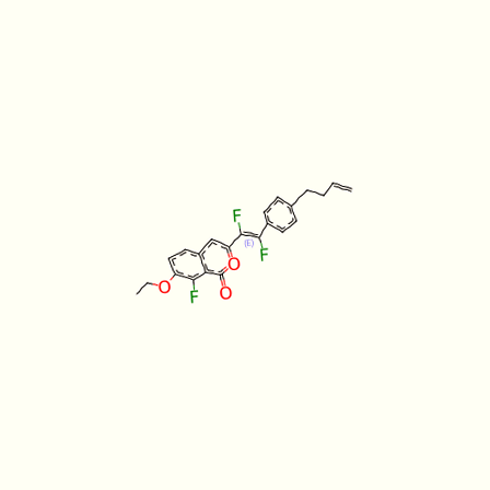 C=CCCc1ccc(/C(F)=C(\F)c2cc3ccc(OCC)c(F)c3c(=O)o2)cc1